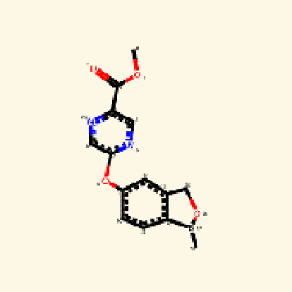 COC(=O)c1cnc(Oc2ccc3c(c2)COB3C)cn1